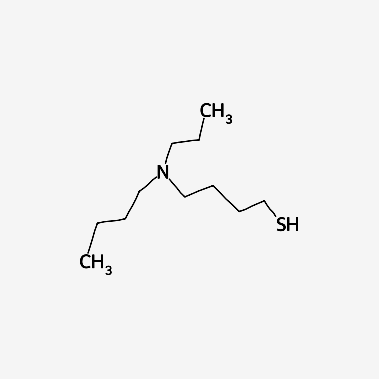 CCCCN(CCC)CCCCS